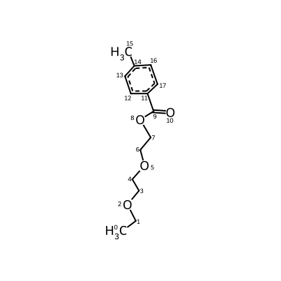 CCOCCOCCOC(=O)c1ccc(C)cc1